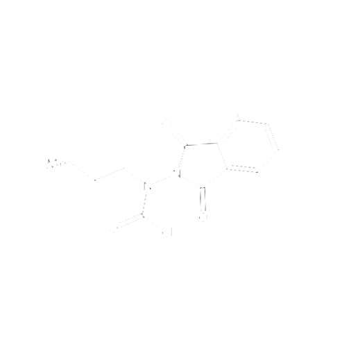 CSCCN(C(=O)Cl)N1C(=O)c2ccccc2C1=O